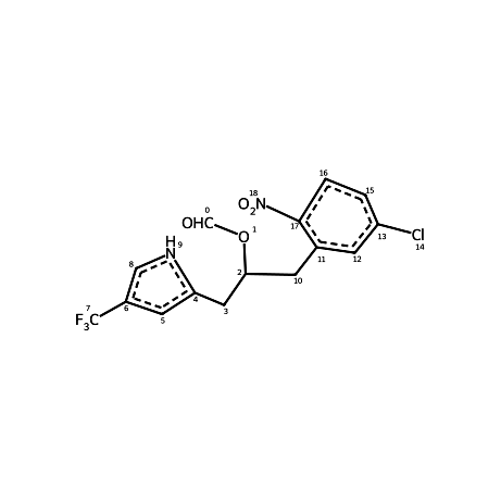 O=COC(Cc1cc(C(F)(F)F)c[nH]1)Cc1cc(Cl)ccc1[N+](=O)[O-]